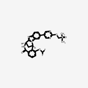 CP(C)(=O)COc1ncc(-c2ccc3nc4n(c3c2)[C@@H]2C[C@H]4NC(=O)c3cccc(OC(F)F)c32)cn1